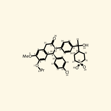 COc1cc2c(cc1OC(C)C)[C@H](c1ccc(Cl)cc1)N(c1ccc(C(C)(O)C3CCS(=O)(=O)CC3)cc1)C(=O)C2